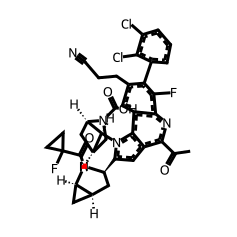 CC(=O)c1nc2c(F)c(-c3cccc(Cl)c3Cl)c(CCC#N)cc2c2c1cc([C@H]1C[C@H]3C[C@H]3N1C(=O)C1(F)CC1)n2[C@H]1[C@@H]2C[C@H]1N(C(=O)O)C2